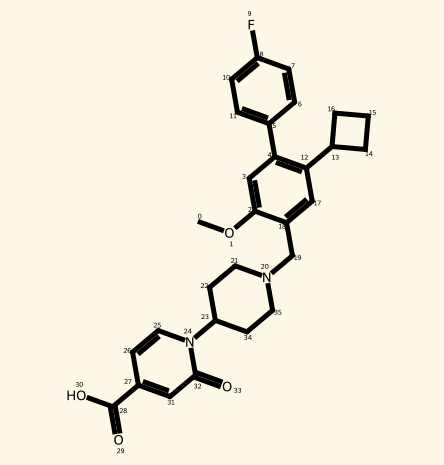 COc1cc(-c2ccc(F)cc2)c(C2CCC2)cc1CN1CCC(n2ccc(C(=O)O)cc2=O)CC1